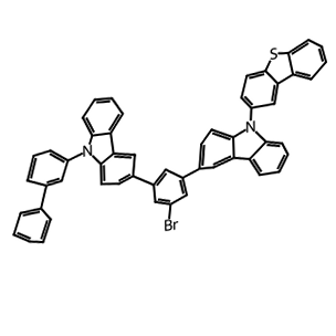 Brc1cc(-c2ccc3c(c2)c2ccccc2n3-c2cccc(-c3ccccc3)c2)cc(-c2ccc3c(c2)c2ccccc2n3-c2ccc3sc4ccccc4c3c2)c1